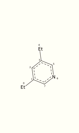 CCc1[c]c(CC)cnc1